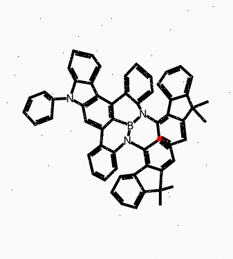 CC1(C)c2ccccc2-c2c(N3B4c5c(cc6c(c5-c5ccccc5N4c4cccc5c4-c4ccccc4C5(C)C)c4ccccc4n6-c4ccccc4)-c4ccccc43)cccc21